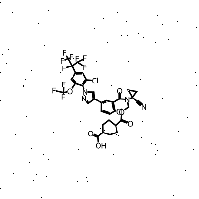 N#CC1(N(COC(=O)C2CCC(C(=O)O)CC2)C(=O)c2cc(-c3cnn(-c4c(Cl)cc(C(F)(C(F)(F)F)C(F)(F)F)cc4OC(F)(F)F)c3)ccc2Cl)CC1